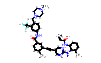 C=CC(=O)Nc1cccc(C)c1Nc1ncc(C#Cc2cc(C(=O)Nc3ccc(CN4CCN(C)CC4)c(C(F)(F)F)c3)ccc2C)cn1